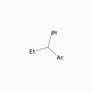 CCC(C(C)=O)C(C)C